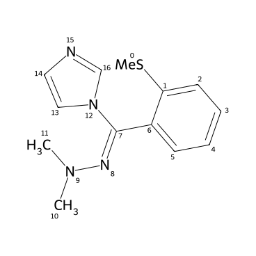 CSc1ccccc1/C(=N/N(C)C)n1ccnc1